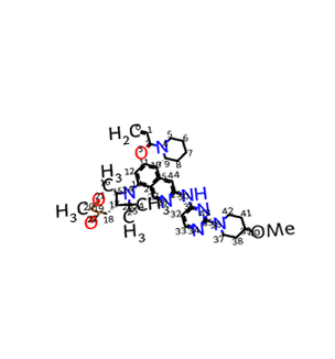 C=CC(=O)N1CCCC[C@@H]1c1ccc(N2[C@H](C)[C@@H](CS(C)(=O)=O)C2(C)C)c2cnc(Nc3ccnc(N4CCC(OC)CC4)n3)cc12